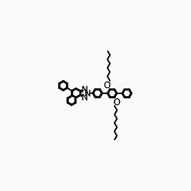 CCCCCCCCCOc1cc(-c2ccc(-n3nc4cc(-c5ccccc5)c5ccccc5c4n3)cc2)c(OCCCCCCCC)cc1-c1ccccc1